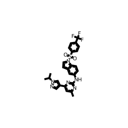 Cc1cc(-c2cnn(C(C)C)c2)nc(Nc2ccc3c(ccn3S(=O)(=O)c3ccc(C(F)(F)F)cc3)c2)n1